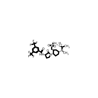 CC(C)N(C)[C@@H]1CC[C@H](N2CC[C@H](NC(=O)c3cc(C(F)(F)F)cc(C(F)(F)F)c3)C2=O)[C@@H](CS(C)(=O)=O)C1